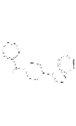 O=C(c1ccccc1)N1CCC(c2c[nH]c3ccccc23)CC1